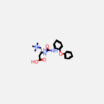 C[N+](C)(C)C[C@@H](CC(=O)O)NC(=O)Nc1ccccc1Oc1ccccc1